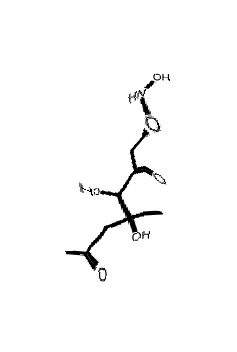 CC(=O)CC(C)(O)C(O)C(=O)CONO